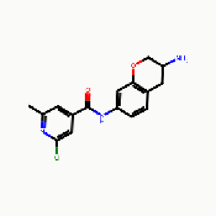 Cc1cc(C(=O)Nc2ccc3c(c2)OCC(N)C3)cc(Cl)n1